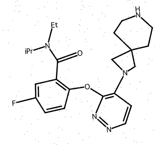 CCN(C(=O)c1cc(F)ccc1Oc1nnccc1N1CC2(CCNCC2)C1)C(C)C